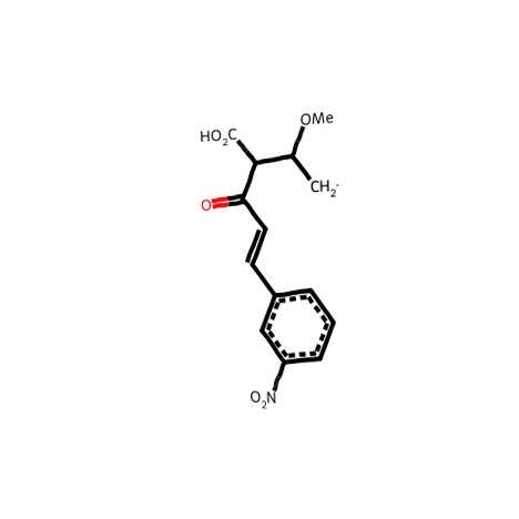 [CH2]C(OC)C(C(=O)O)C(=O)C=Cc1cccc([N+](=O)[O-])c1